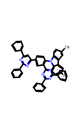 N#Cc1ccc2c(c1)c1cc(C#N)ccc1n2-c1ccc(-c2cc(-c3ccccc3)nc(-c3ccccc3)n2)cc1-c1nc(-c2ccccc2)nc(-c2ccccc2)n1